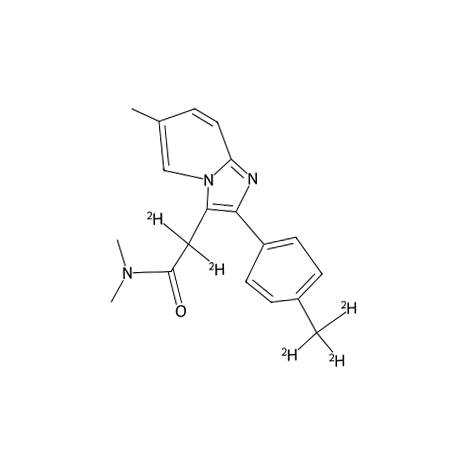 [2H]C([2H])([2H])c1ccc(-c2nc3ccc(C)cn3c2C([2H])([2H])C(=O)N(C)C)cc1